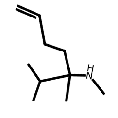 C=CCCC(C)(NC)C(C)C